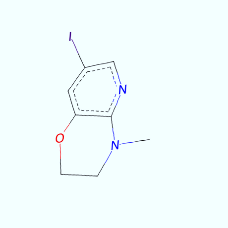 CN1CCOc2cc(I)cnc21